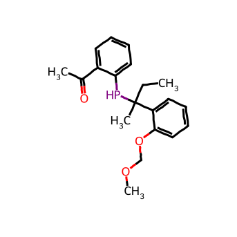 CCC(C)(Pc1ccccc1C(C)=O)c1ccccc1OCOC